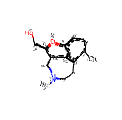 CN1CCc2c(C#N)ccc3oc(CO)c(c23)C1